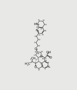 CC(C)C1Cc2c(cncc2[C@H](C(=O)O)N2CC[C@@H](OCCCCc3ccc4c(n3)NCCC4)C2)CO1